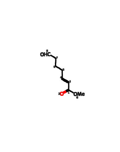 COC(=O)C=CCCCC=O